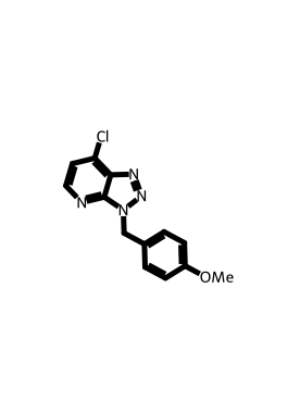 COc1ccc(Cn2nnc3c(Cl)ccnc32)cc1